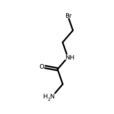 NCC(=O)NCCBr